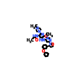 C=CC(=O)Nc1cc(Nc2cc(N3OCCC3c3cccc(Oc4ccccc4)c3)ncn2)c(OC)nc1N1CCN(C)CC1